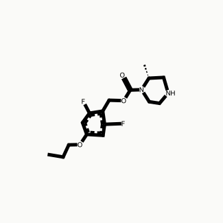 CCCOc1cc(F)c(COC(=O)N2CCNC[C@H]2C)c(F)c1